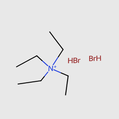 Br.Br.CC[N+](CC)(CC)CC